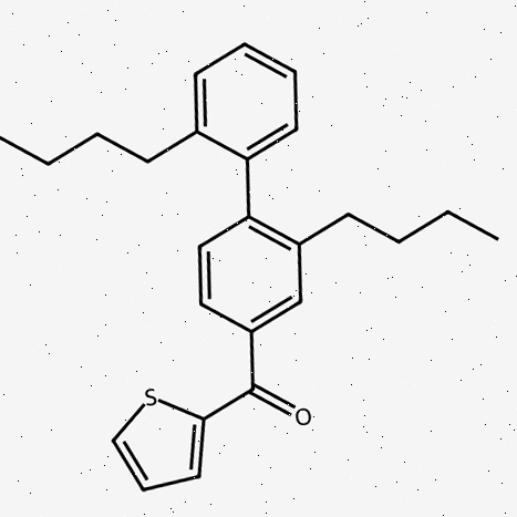 CCCCc1ccccc1-c1ccc(C(=O)c2cccs2)cc1CCCC